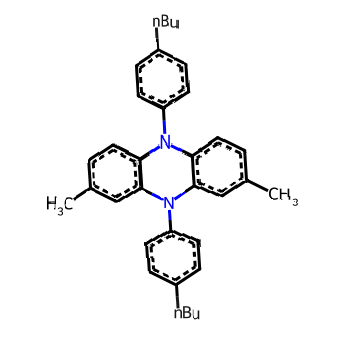 CCCCc1ccc(N2c3ccc(C)cc3N(c3ccc(CCCC)cc3)c3cc(C)ccc32)cc1